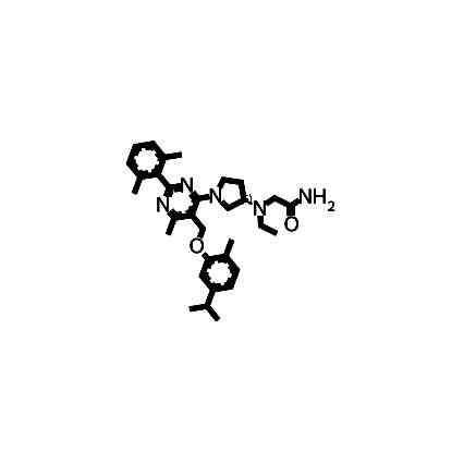 CCN(CC(N)=O)[C@H]1CCN(c2nc(-c3c(C)cccc3C)nc(C)c2COc2cc(C(C)C)ccc2C)C1